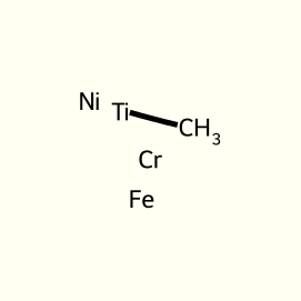 [CH3][Ti].[Cr].[Fe].[Ni]